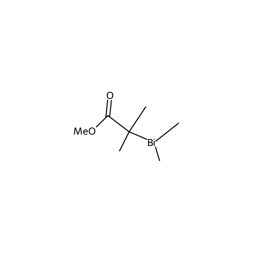 COC(=O)[C](C)(C)[Bi]([CH3])[CH3]